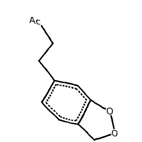 CC(=O)CCc1ccc2c(c1)OOC2